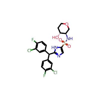 O=S(=O)(N[C@@H]1COCC[C@H]1O)c1cnc(C(c2ccc(F)c(Cl)c2)c2ccc(F)c(Cl)c2)[nH]1